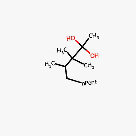 CCCCCCC(C)C(C)(C)C(C)(O)O